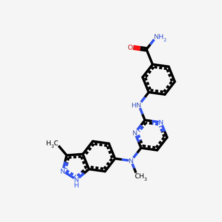 Cc1n[nH]c2cc(N(C)c3ccnc(Nc4cccc(C(N)=O)c4)n3)ccc12